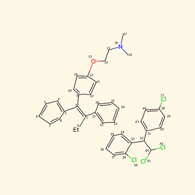 CC/C(=C(\c1ccccc1)c1ccc(OCCN(C)C)cc1)c1ccccc1.Clc1ccc(C(c2ccccc2Cl)C(Cl)Cl)cc1